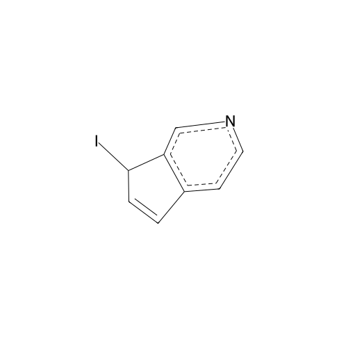 IC1C=Cc2ccncc21